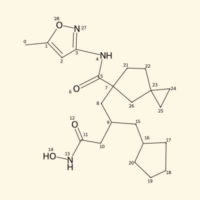 Cc1cc(NC(=O)C2(CC(CC(=O)NO)CC3CCCC3)CCC3(CC3)C2)no1